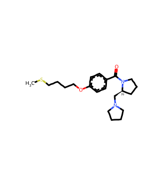 CSCCCCOc1ccc(C(=O)N2CCC[C@H]2CN2CCCC2)cc1